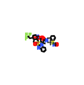 Cc1c(CC(F)(F)F)ccnc1C[S+]([O-])c1nc2ccccc2n1C(C)(CC(=O)O)C(=O)N(Cc1ccccc1)CC(C)(C)SN=O